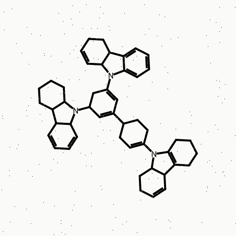 C1=CC2C3CCCCC3N(C3C=C(C4CC=C(N5C6=C(CCCC6)C6C=CCCC65)CC4)C=C(N4c5ccccc5C5CCC=CC54)C3)C2C=C1